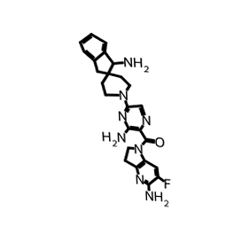 Nc1nc2c(cc1F)N(C(=O)c1ncc(N3CCC4(CC3)Cc3ccccc3C4N)nc1N)CC2